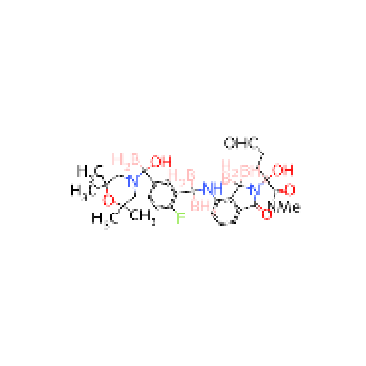 BC(B)(Nc1cccc2c1C(B)(B)N(C(O)(CCC=O)C(=O)NC)C2=O)c1cc(C(B)(O)N2CC(C)(C)OC(C)(C)C2)ccc1F